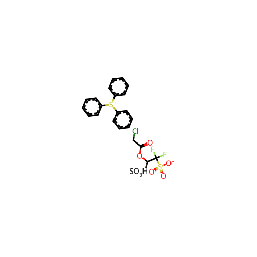 O=C(CCl)OC(C(F)(F)S(=O)(=O)[O-])S(=O)(=O)O.c1ccc([S+](c2ccccc2)c2ccccc2)cc1